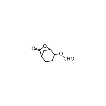 O=COC1CCC2CC1OC2=O